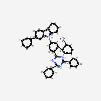 FC(F)(F)c1ccccc1-c1cc(-n2c3ccccc3c3ccc(-c4ccccc4)cc32)ccc1-c1nc(-c2ccccc2)nc(-c2ccccc2)n1